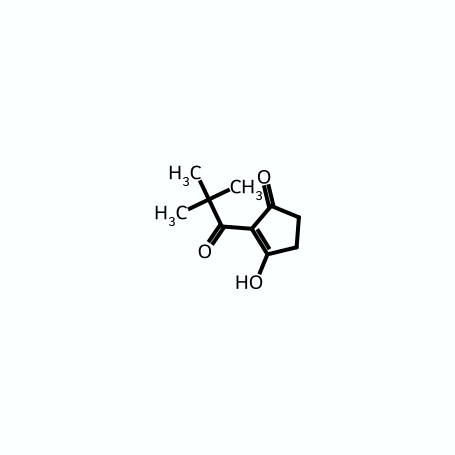 CC(C)(C)C(=O)C1=C(O)CCC1=O